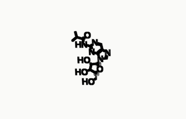 CC(C)C(=O)Nc1ncc2ncn([C@@H]3O[C@H](CO)C(O)C3O)c2n1